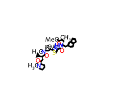 COC(=O)[C@@H](C)C[C@H](Cc1ccc2c(c1)C=CC2)NC(=O)c1csc([C@@H](C[C@H](C(C)C)N(C)C(=O)[C@@H](CC(=O)[C@H]2CCCCN2C)C2CC2)OC(C)=O)n1